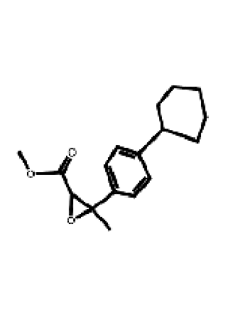 COC(=O)C1OC1(C)c1ccc(C2CCCCC2)cc1